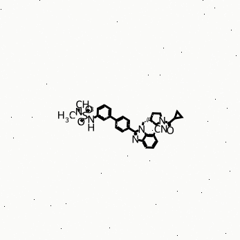 CN(C)S(=O)(=O)Nc1cccc(-c2ccc(-c3nc4cccc(C#N)c4n3C[C@@H]3CCN(C(=O)C4CC4)C3)cc2)c1